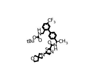 C[C@@H](NC(=O)c1ncc(N2CC3(CCOC3)C2)s1)c1ccc(-c2cc(C(F)(F)F)ccc2CNC(=O)OC(C)(C)C)cc1